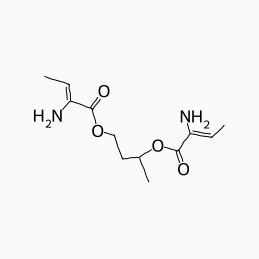 C/C=C(\N)C(=O)OCCC(C)OC(=O)/C(N)=C/C